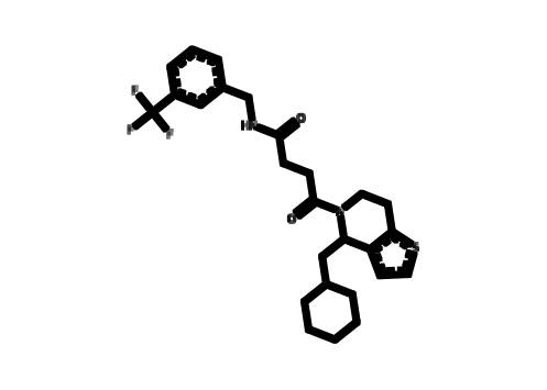 O=C(CCC(=O)N1CCc2sccc2C1CC1CCCCC1)NCc1cccc(C(F)(F)F)c1